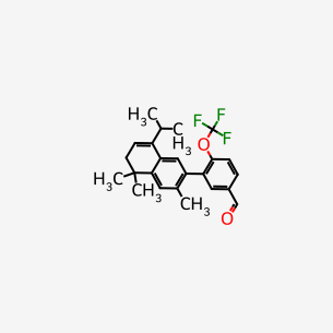 Cc1cc2c(cc1-c1cc(C=O)ccc1OC(F)(F)F)C(C(C)C)=CCC2(C)C